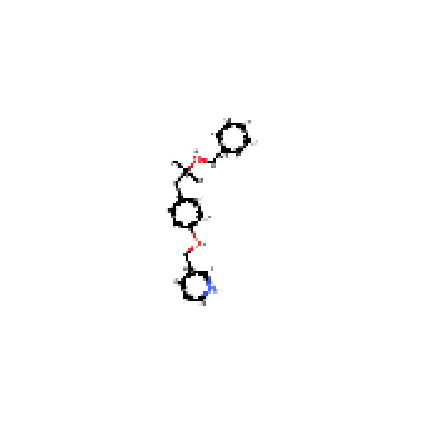 CC(C)([CH]c1ccc(OCc2cccnc2)cc1)OCc1ccccc1